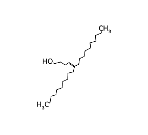 CCCCCCCCCCC(=CCCCO)CCCCCCCCCC